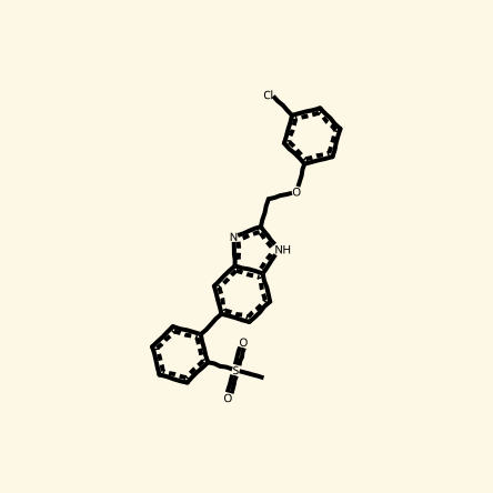 CS(=O)(=O)c1ccccc1-c1ccc2[nH]c(COc3cccc(Cl)c3)nc2c1